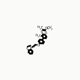 COC(=O)C(C)Oc1cccc(-c2ccc(OCCN3CCSc4ccccc43)cc2)c1C